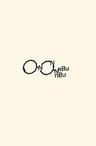 CCCCN(CCCC)C1C=NCCCN(C2CCCC=CCCCCC2)CCCC1